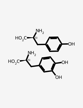 N[C@@H](Cc1ccc(O)c(O)c1)C(=O)O.N[C@@H](Cc1ccc(O)cc1)C(=O)O